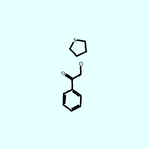 C1CCSC1.O=C(CCl)c1ccccc1